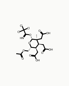 CC(=O)OC[C@@H]1O[C@H](OC(=N)C(Cl)(Cl)Cl)[C@@](C)(CC(=O)O)[C@@H](CC(=O)O)[C@H]1CC(=O)O